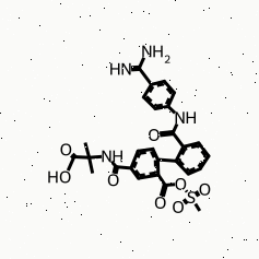 CC(C)(NC(=O)c1ccc(-c2ccccc2C(=O)Nc2ccc(C(=N)N)cc2)c(C(=O)OS(C)(=O)=O)c1)C(=O)O